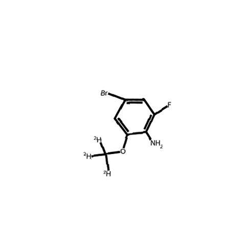 [2H]C([2H])([2H])Oc1cc(Br)cc(F)c1N